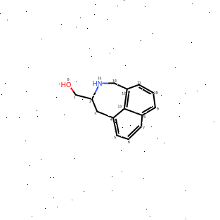 OCC1Cc2cccc3cccc(c23)CN1